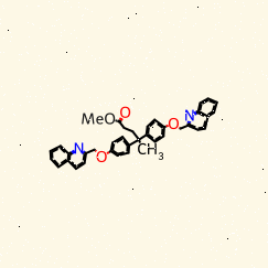 COC(=O)CCC(C)(c1ccc(OCc2ccc3ccccc3n2)cc1)c1ccc(OCc2ccc3ccccc3n2)cc1